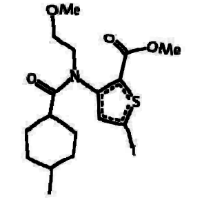 COCCN(C(=O)C1CCC(C)CC1)c1cc(I)sc1C(=O)OC